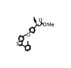 CC#C[C@@H](CC(=O)OC)c1ccc(OCc2ccc3scc(-c4ccccc4C)c3c2)cc1